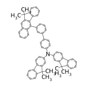 CC1(C)c2ccccc2-c2ccc(N(c3ccc(-c4cccc(-c5c6c(cc7ccccc57)C(C)(C)c5ccccc5-6)c4)cc3)c3ccc4c(c3)C(C)(C)c3ccccc3-4)cc21